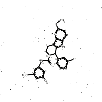 COc1ccc2[nH]c3c(c2n1)CCN(C(=O)Nc1cc(C)cc(C)c1)C3c1cccc(F)c1